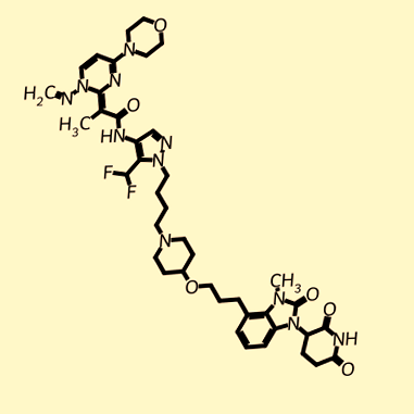 C=NN1C=CC(N2CCOCC2)=N/C1=C(/C)C(=O)Nc1cnn(CCCCN2CCC(OCCCc3cccc4c3n(C)c(=O)n4C3CCC(=O)NC3=O)CC2)c1C(F)F